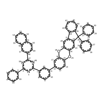 c1ccc(-c2nc(-c3cccc(-c4ccc5c(c4)Oc4cc6c(cc4O5)C(c4ccccc4)(c4ccccc4)c4ccccc4-6)c3)nc(-c3ccc4ccccc4c3)n2)cc1